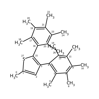 Cc1cc(-c2c(C)c(C)c(C)c(C)c2C)c(-c2c(C)c(C)c(C)c(C)c2C)s1